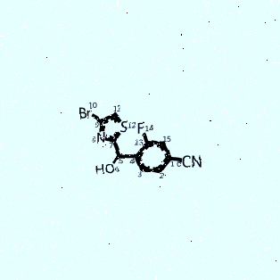 N#Cc1ccc(C(O)c2nc(Br)cs2)c(F)c1